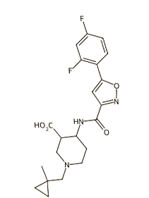 CC1(CN2CCC(NC(=O)c3cc(-c4ccc(F)cc4F)on3)C(C(=O)O)C2)CC1